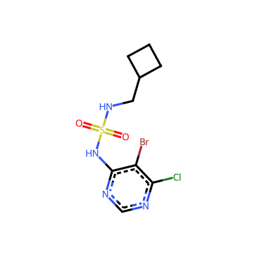 O=S(=O)(NCC1CCC1)Nc1ncnc(Cl)c1Br